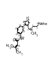 CNCCN(C)Cc1c[nH]nc1-c1cccc(NC(=O)C=C(C)C)c1